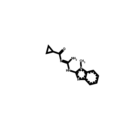 Cn1c(N/C(N)=N/C(=O)C2CC2)nc2ccccc21